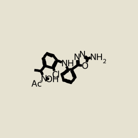 CC(=O)N(O)C(C)c1cccc(Nc2ccccc2-c2nnc(N)o2)c1Cl